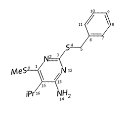 CSc1nc(SCc2ccccc2)nc(N)c1C(C)C